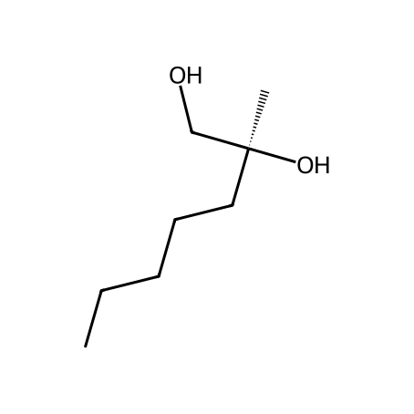 CCCCC[C@](C)(O)CO